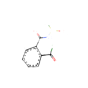 O=C(Cl)c1ccccc1C(=O)N[S+]([O-])Cl